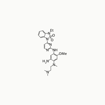 CCN1c2ccccc2N(c2ccnc(Nc3cc(N)c(N(C)CCN(C)C)cc3OC)n2)S1(=O)=O